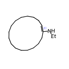 CCN/C1=C/CCCCCCCCCCCCCCC1